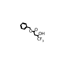 O=C(CC(O)C(F)(F)F)OCc1ccccc1